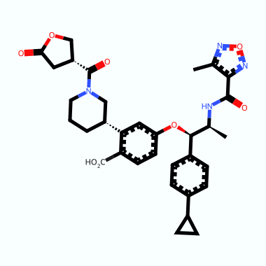 Cc1nonc1C(=O)N[C@@H](C)[C@H](Oc1ccc(C(=O)O)c([C@@H]2CCCN(C(=O)[C@H]3COC(=O)C3)C2)c1)c1ccc(C2CC2)cc1